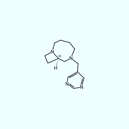 c1ncc(CN2CCCCN3CC[C@@H]3C2)cn1